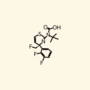 CC(C)(C)N(C(=O)O)C1=N[C@](CF)(c2cccc(F)c2F)C=CS1